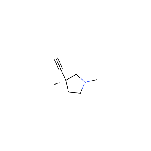 C#C[C@]1(C)CCN(C)C1